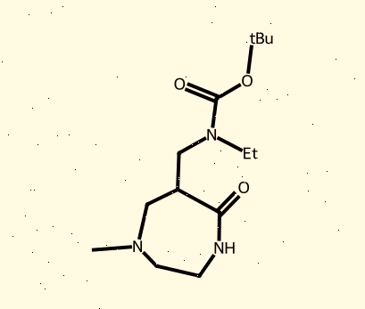 CCN(CC1CN(C)CCNC1=O)C(=O)OC(C)(C)C